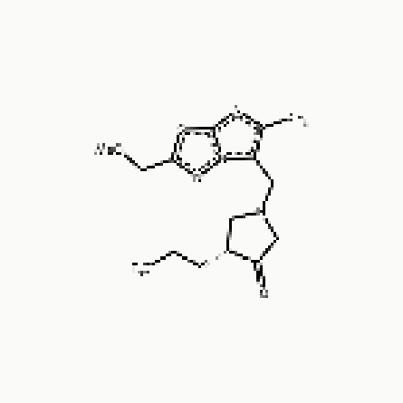 COCc1nn2c(CN3CC(=O)[C@H](CCC(F)(F)F)C3)c(C(F)(F)F)nc2s1